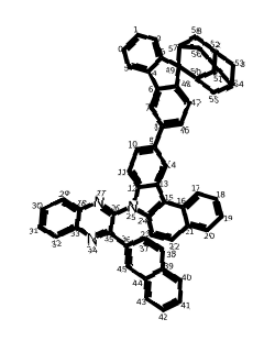 c1ccc2c(c1)-c1cc(-c3ccc4c(c3)c3c5ccccc5ccc3n4-c3nc4ccccc4nc3-c3ccc4ccccc4c3)ccc1C21C2CC3CC(C2)CC1C3